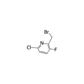 Fc1ccc(Cl)nc1CBr